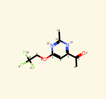 CC(=O)c1cc(OCC(F)(F)F)nc(C)n1